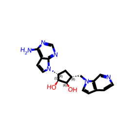 Nc1ncnc2c1ccn2[C@@H]1C[C@H](Cn2ccc3ccncc32)[C@@H](O)[C@H]1O